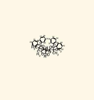 CC(C)(C)[Si](O[C@H]1CO[C@H]2OC[C@H](O[Si](c3ccccc3)(c3ccccc3)C(C)(C)C)[C@H]21)(c1ccccc1)c1ccccc1